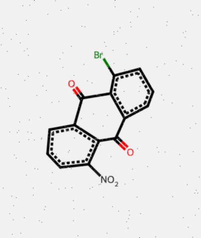 O=C1c2cccc([N+](=O)[O-])c2C(=O)c2cccc(Br)c21